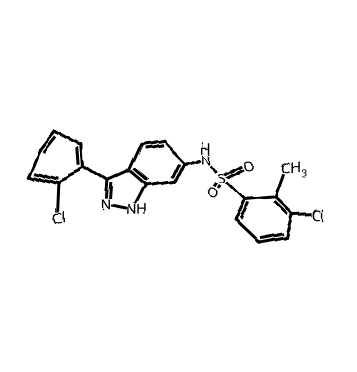 Cc1c(Cl)cccc1S(=O)(=O)Nc1ccc2c(-c3ccccc3Cl)n[nH]c2c1